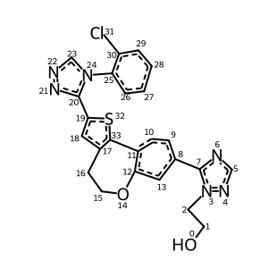 OCCn1ncnc1-c1ccc2c(c1)OCCc1cc(-c3nncn3-c3ccccc3Cl)sc1-2